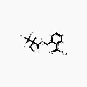 CCC(C)(C(=O)NCc1ccccc1C(N)=O)C(F)(F)F